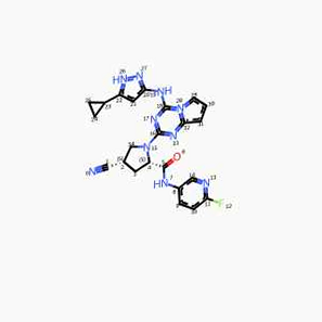 N#C[C@H]1C[C@@H](C(=O)Nc2ccc(F)nc2)N(c2nc(Nc3cc(C4CC4)[nH]n3)n3cccc3n2)C1